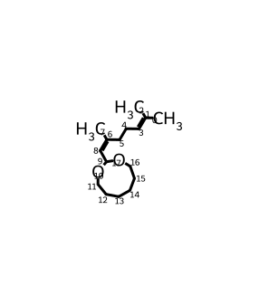 CC(C)=CCCC(C)=CC1OCCCCCCO1